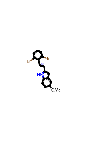 COc1ccc2[nH]c(/C=C/c3c(Br)cccc3Br)cc2c1